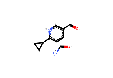 NC=O.O=Cc1ccc(C2CC2)nc1